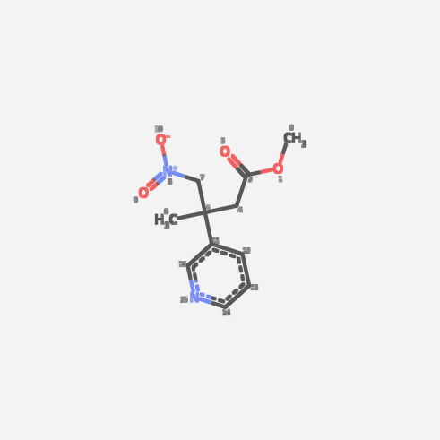 COC(=O)CC(C)(C[N+](=O)[O-])c1cccnc1